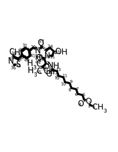 CCOC(=O)CCCCCCCCCC(=O)N[C@H](C(=O)N1C[C@H](O)C[C@H]1C(=O)NCc1ccc(-c2scnc2C)cc1)C(C)(C)C